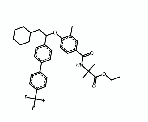 CCOC(=O)C(C)(C)NC(=O)c1ccc(OC(CC2CCCCC2)c2ccc(-c3ccc(C(F)(F)F)cc3)cc2)c(C)c1